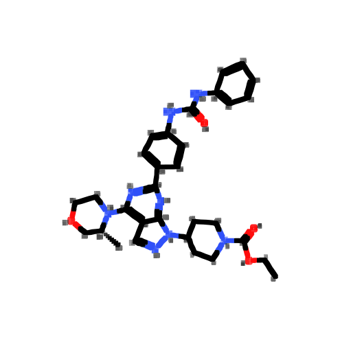 CCOC(=O)N1CCC(n2ncc3c(N4CCOC[C@H]4C)nc(-c4ccc(NC(=O)Nc5ccccc5)cc4)nc32)CC1